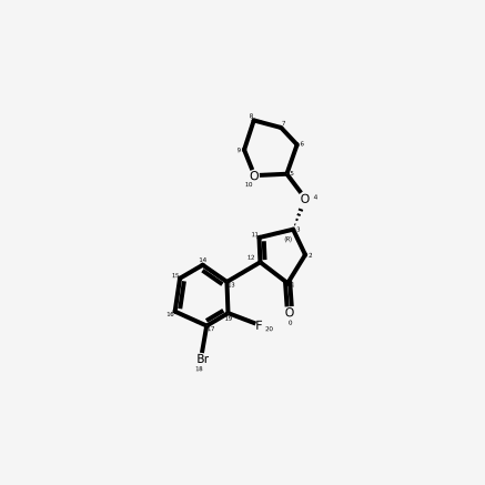 O=C1C[C@@H](OC2CCCCO2)C=C1c1cccc(Br)c1F